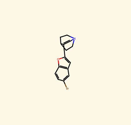 Brc1ccc2oc(C3=CN4CCC3CC4)cc2c1